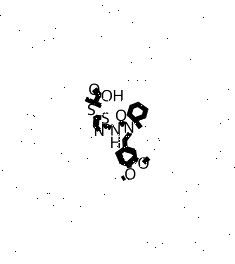 COc1ccc(CCN(C(=O)Nc2ncc(SC(C)(C)C(=O)O)s2)C2(C)CCCCC2)cc1OC